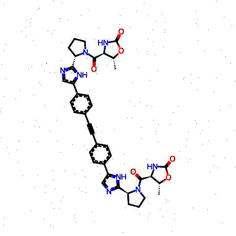 C[C@H]1OC(=O)N[C@@H]1C(=O)N1CCC[C@H]1c1ncc(-c2ccc(C#Cc3ccc(-c4cnc([C@@H]5CCCN5C(=O)[C@H]5NC(=O)O[C@@H]5C)[nH]4)cc3)cc2)[nH]1